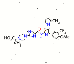 COc1ccc(-c2nc(NC(=O)c3cnc(N4CCN(C(C)C(=O)O)CC4)cn3)sc2CN2CCC[C@H]2C)cc1C(F)(F)F